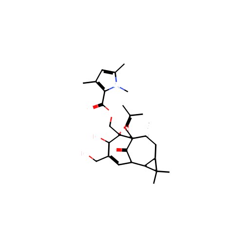 CC(C)=CC12C(=O)C(C=C(CO)C(O)C1(O)COC(=O)c1c(C)cc(C)n1C)C1C(C[C@H]2C)C1(C)C